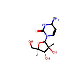 C[C@]1(O)[C@H](N2C=CC(N)NC2=O)O[C@](C)(CO)[C@H]1O